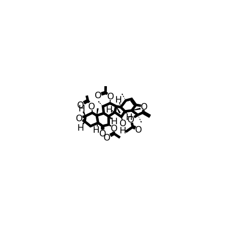 C=C1OC2=C[C@@H](C)[C@H]3[C@@H]([C@H](O)[C@H]4[C@H]5C([C@H](C)[C@H](OC(C)=O)[C@]34C)[C@]3(C)[C@H](C[C@@H]4O[C@@H]4[C@@H]3OC(C)=O)C(=O)[C@@H]5OC(C)=O)[C@@]2(C)[C@]1(C)OC(C)=O